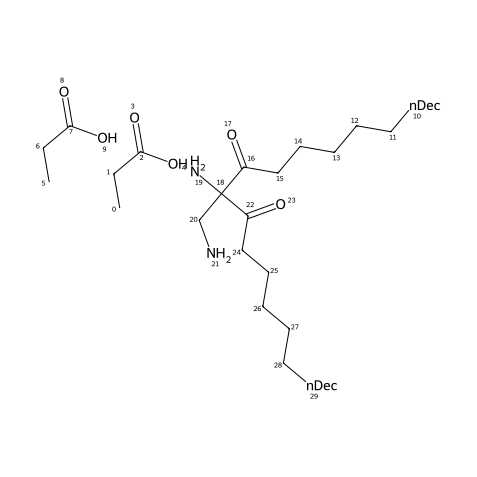 CCC(=O)O.CCC(=O)O.CCCCCCCCCCCCCCCC(=O)C(N)(CN)C(=O)CCCCCCCCCCCCCCC